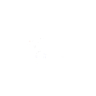 CCCCCNc1cc2c(cc1N)C(=O)CC2